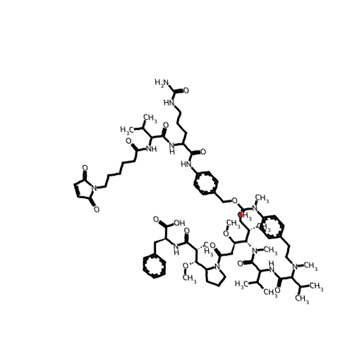 CC[C@H](C)[C@@H]([C@@H](CC(=O)N1CCCC1[C@H](OC)[C@@H](C)C(=O)N[C@@H](Cc1ccccc1)C(=O)O)OC)N(C)C(=O)C(NC(=O)C(C(C)C)N(C)CCc1ccc(N(C)C(=O)OCc2ccc(NC(=O)C(CCCNC(N)=O)NC(=O)C(NC(=O)CCCCCN3C(=O)C=CC3=O)C(C)C)cc2)cc1)C(C)C